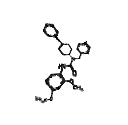 COc1ccc(NC(=O)N(Cc2ccccc2)[C@H]2CC[C@H](c3ccccc3)CC2)c(OC)c1